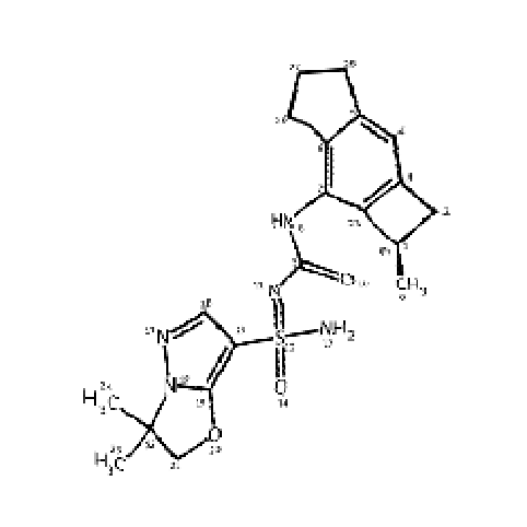 C[C@@H]1Cc2cc3c(c(NC(=O)N=S(N)(=O)c4cnn5c4OCC5(C)C)c21)CCC3